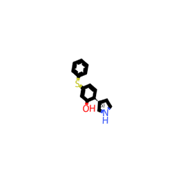 OC1C=C(Sc2ccccc2)C=CC1[C@@H]1CCNC1